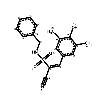 Cc1cc(/C=C(/C#N)S(=O)(=O)NCc2ccccc2)cc(C)c1O